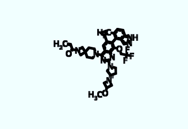 C=CC(=O)N1CC2(CCN(c3nc(N4CC[C@H](N5CC(OC)C5)C4)nc4c(OCC(F)(F)F)c(-c5c(C)ccc6[nH]ncc56)c(C5CC5)cc34)CC2)C1